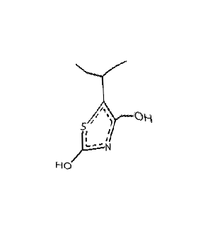 CC(C)c1sc(O)nc1O